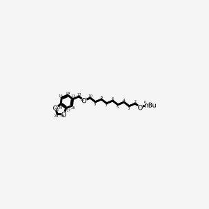 CCCCOCCCCCCCCCOCc1ccc2c(c1)OCO2